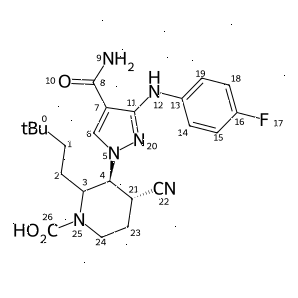 CC(C)(C)CCC1[C@@H](n2cc(C(N)=O)c(Nc3ccc(F)cc3)n2)[C@H](C#N)CCN1C(=O)O